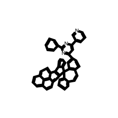 C1=Cc2ccc(-c3cc(-c4cccnc4)nc(-c4ccccc4)n3)cc2C2(c3ccccc31)c1ccccc1-c1c2cc2ccc3cccc4ccc1c2c34